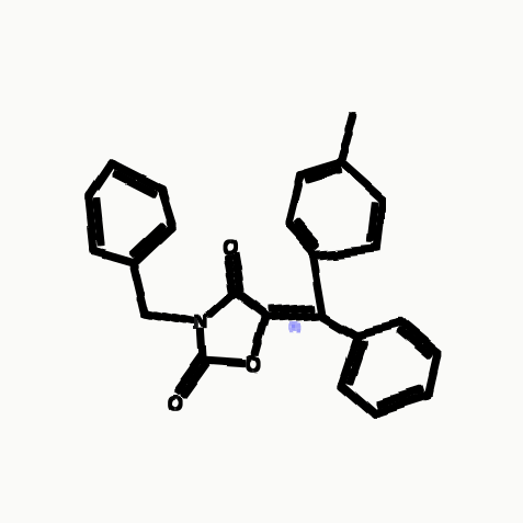 Cc1ccc(/C(=C2/OC(=O)N(Cc3ccccc3)C2=O)c2ccccc2)cc1